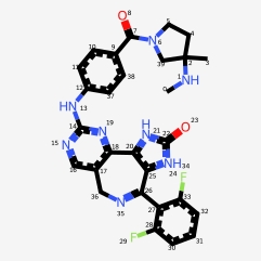 CNC1(C)CCN(C(=O)c2ccc(Nc3ncc4c(n3)-c3[nH]c(=O)[nH]c3C(c3c(F)cccc3F)=NC4)cc2)C1